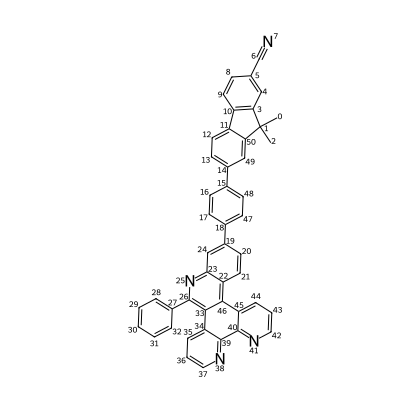 CC1(C)c2cc(C#N)ccc2-c2ccc(-c3ccc(-c4ccc5c(c4)nc(-c4ccccc4)c4c6cccnc6c6ncccc6c54)cc3)cc21